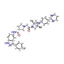 O=C(Nc1ccc2[nH]nc(-c3ccc(F)cc3)c2c1)[C@@H]1CCN(CC(=O)N2C[C@@H]3C[C@H]2CN3c2ccc(-c3ncccn3)cc2)C1